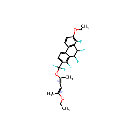 CCO/C(C)=C/C=C(\C)OC(F)(F)c1ccc2c(c1F)C(F)C(F)c1c-2ccc(OCC)c1F